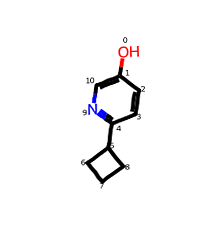 Oc1ccc(C2CCC2)nc1